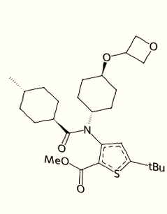 COC(=O)c1sc(C(C)(C)C)cc1N(C(=O)[C@H]1CC[C@H](C)CC1)[C@H]1CC[C@H](OC2COC2)CC1